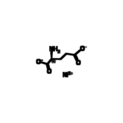 N[C@@H](CCC(=O)[O-])C(=O)[O-].[Ni+2]